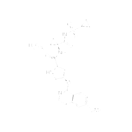 C=C[C@@H]1C[C@]1(NC(=O)C1C[C@@H](Oc2nccc3cc(OC)ccc23)CN1)C(=O)NS(=O)(=O)C1CC1